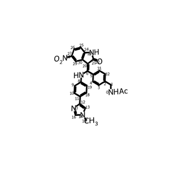 CC(=O)NCc1ccc(C(Nc2ccc(-c3cn(C)cn3)cc2)=C2C(=O)Nc3ccc([N+](=O)[O-])cc32)cc1